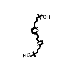 CC(C)(CO)CCCc1ccc(/C=C/c2ccc(CCCC(C)(C)CO)s2)s1